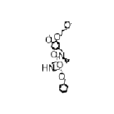 COCCCOc1cc(CN(C(=O)[C@H]2CNC[C@@H](COCc3ccccc3)O2)C2CC2)ccc1OC